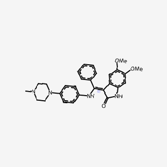 COc1cc2c(cc1OC)/C(=C(/Nc1ccc(N3CCN(C)CC3)cc1)c1ccccc1)C(=O)N2